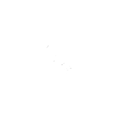 CC(=O)OC[C@@H]1OC[C@H]2[C@@H](B(O)O)[C@H]21